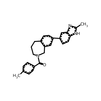 Cc1ccc(C(=O)N2CCCc3ccc(-c4ccc5[nH]c(C)nc5c4)cc3C2)cc1